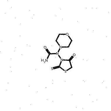 NC(=O)N(N1CCOCC1)N1C(=O)CSC1=S